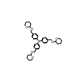 c1cc(N(c2ccc(COC3CCCCO3)cc2)c2ccc(COC3CCCCO3)cc2)ccc1COC1CCCCO1